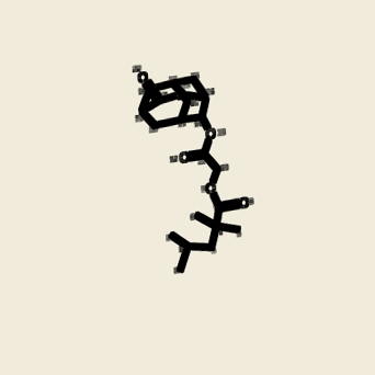 CC(C)CC(C)(C)C(=O)OCC(=O)OC1C2CC3CC(C2)C(=O)OC1C3